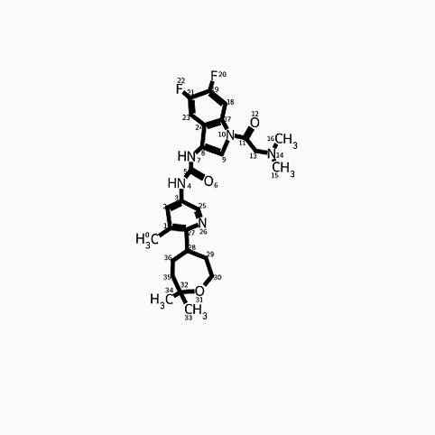 Cc1cc(NC(=O)Nc2cn(C(=O)CN(C)C)c3cc(F)c(F)cc23)cnc1C1CCOC(C)(C)CC1